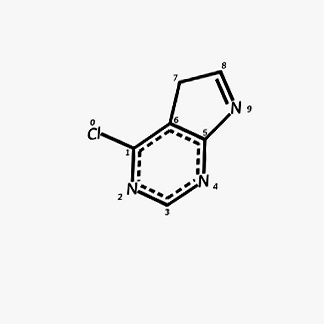 Clc1ncnc2c1CC=N2